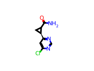 NC(=O)C1C[C@@H]1c1cc(Cl)ncn1